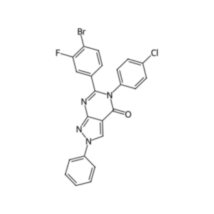 O=c1c2cn(-c3ccccc3)nc2nc(-c2ccc(Br)c(F)c2)n1-c1ccc(Cl)cc1